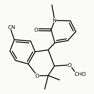 Cn1cccc(C2c3cc(C#N)ccc3OC(C)(C)C2OC=O)c1=O